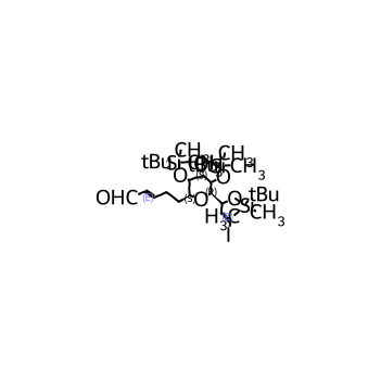 CC(C)(C)[Si](C)(C)OC(/C=C/I)[C@H]1O[C@@H](CC/C=C/C=O)C(O[Si](C)(C)C(C)(C)C)[C@H](O)C1O[Si](C)(C)C(C)(C)C